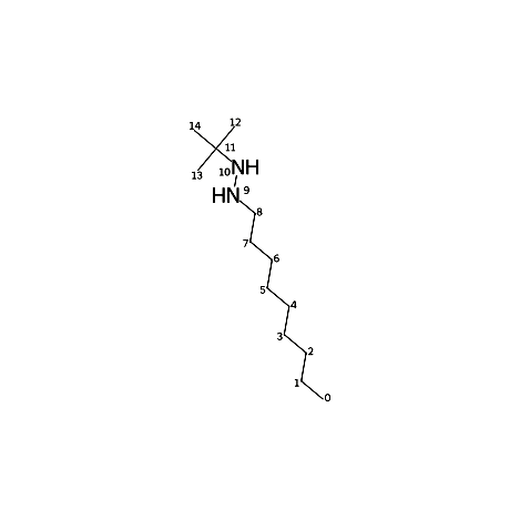 CCCCCCCCCNNC(C)(C)C